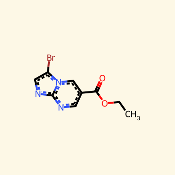 CCOC(=O)c1cnc2ncc(Br)n2c1